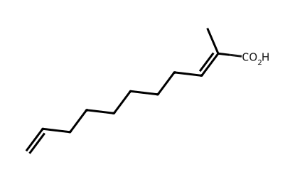 C=CCCCCCCC=C(C)C(=O)O